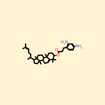 CC(C)=CCCC(C)C1CCC2(C)C3CC=C4C(C)(C)C(OC(=O)CCc5ccc(N)cc5N)CCC4(C)C3CCC12C